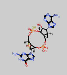 Nc1nc2c(ncn2[C@@H]2S[C@@H]3CO[P@@](=O)(S)O[C@H]4[C@@H](O)[C@H](n5cnc6c(N)ncnc65)[C@H]5C[C@@]54COP(=O)(O)O[C@@H]2[C@@H]3O)c(=O)[nH]1